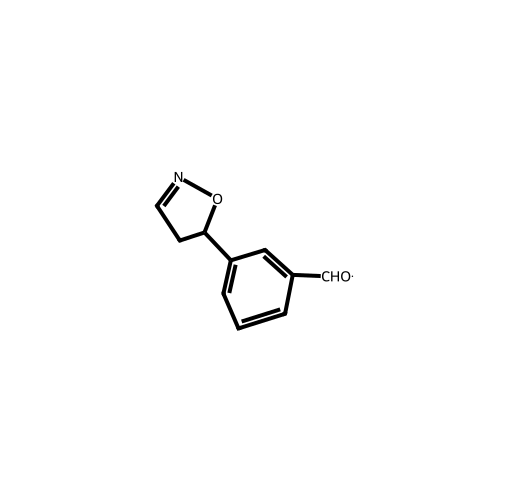 O=[C]c1cccc(C2CC=NO2)c1